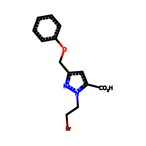 O=C(O)c1cc(COc2ccccc2)nn1CCBr